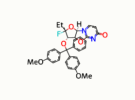 CC[C@@]1(F)O[C@@H]2C(Oc3nc(=O)ccn32)[C@@H]1OC(c1ccccc1)(c1ccc(OC)cc1)c1ccc(OC)cc1